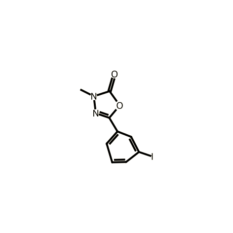 Cn1nc(-c2cccc(I)c2)oc1=O